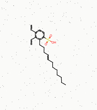 C=Cc1ccc(S(=O)(=O)O)c(CCCC=CCCCCCCC)c1C=C